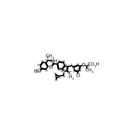 Cc1c(Cc2cc(Cl)cc(O[C@H](C)C(=O)O)c2)c2ccc(C(=O)N[C@@H](C)c3ccc(C(C)(C)C)cc3)cc2n1CC1CC1